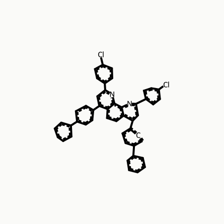 Clc1ccc(-c2cc(-c3ccc(-c4ccccc4)cc3)c3ccc4c(-c5ccc(-c6ccccc6)cc5)cc(-c5ccc(Cl)cc5)nc4c3n2)cc1